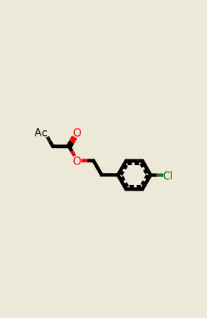 CC(=O)CC(=O)OCCc1ccc(Cl)cc1